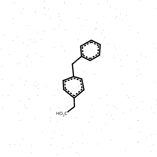 O=C(O)Cc1ccc(Cc2ccccc2)cc1